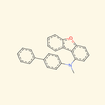 CN(c1ccc(-c2ccccc2)cc1)c1cccc2oc3ccccc3c12